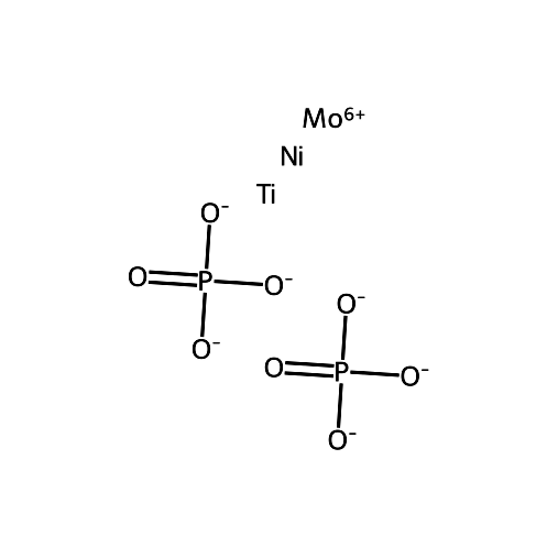 O=P([O-])([O-])[O-].O=P([O-])([O-])[O-].[Mo+6].[Ni].[Ti]